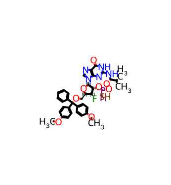 COc1ccc(C(OC[C@H]2O[C@@H](n3cnc4c(=O)[nH]c(NC(=O)C(C)C)nc43)[C@H](O[PH](=O)S)[C@@H]2F)(c2ccccc2)c2ccc(OC)cc2)cc1